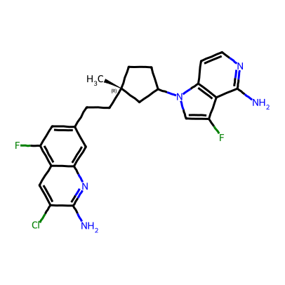 C[C@@]1(CCc2cc(F)c3cc(Cl)c(N)nc3c2)CCC(n2cc(F)c3c(N)nccc32)C1